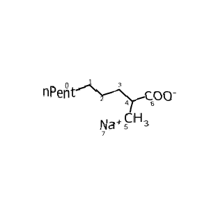 CCCCCCCCC(C)C(=O)[O-].[Na+]